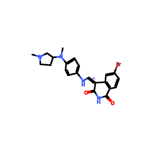 CN1CCC(N(C)c2ccc(N/C=C3\C(=O)NC(=O)c4ccc(Br)cc43)cc2)C1